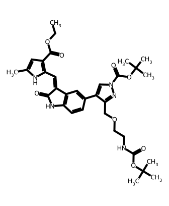 CCOC(=O)c1cc(C)[nH]c1/C=C1\C(=O)Nc2ccc(-c3cn(C(=O)OC(C)(C)C)nc3COCCNC(=O)OC(C)(C)C)cc21